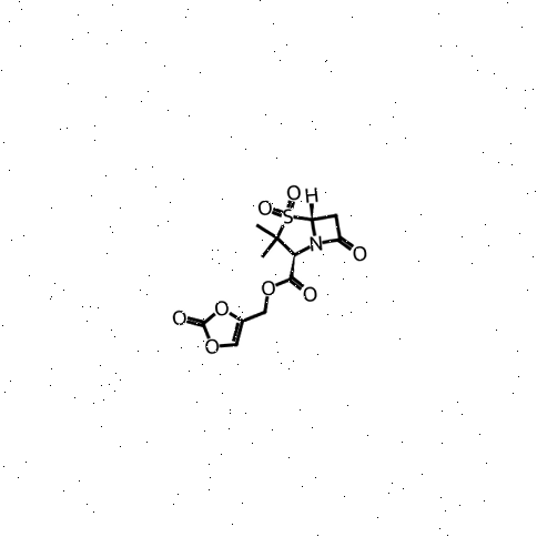 CC1(C)[C@H](C(=O)OCc2coc(=O)o2)N2C(=O)C[C@H]2S1(=O)=O